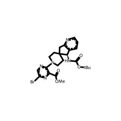 COC(=O)c1nc(Br)cnc1N1CCC2(CC1)Cc1ncccc1[C@H]2NC(=O)OC(C)(C)C